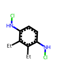 CCc1c(NCl)ccc(NCl)c1CC